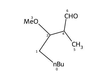 CCCCCC(OC)C(C)C=O